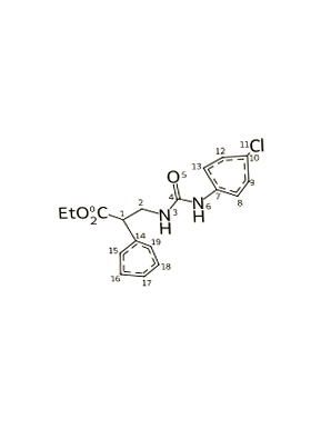 CCOC(=O)C(CNC(=O)Nc1ccc(Cl)cc1)c1ccccc1